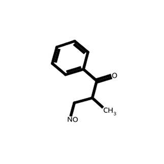 CC(CN=O)C(=O)c1ccccc1